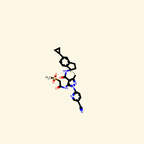 CS(=O)(=O)CC(=O)Nc1c2c(nn1-c1ccc(C#N)cn1)C[C@]1(CCc3cc(C4CC4)ccc31)NC2=O